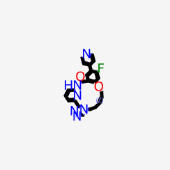 O=C1Nc2cccc(n2)-c2nncn2CC/C=C\COc2cc(F)c(-c3ccncc3)cc21